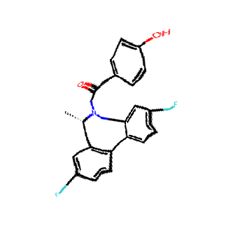 C[C@H]1c2cc(F)ccc2-c2ccc(F)cc2N1C(=O)c1ccc(O)cc1